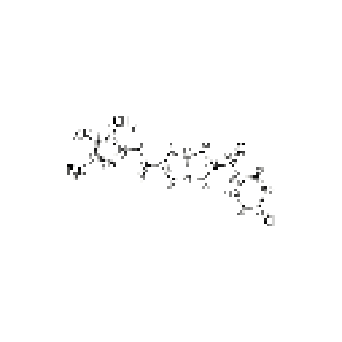 Cc1c(Cl)c(C(F)(F)F)nn1CC(=O)N1CC2CN(C(=O)c3ccc(Cl)cc3)CC2C1